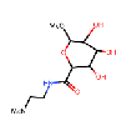 CNCCNC(=O)C1OC(OC)C(O)C(O)C1O